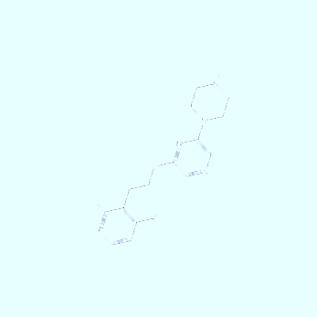 Fc1cccc(F)c1CCOc1cncc(N2CCNCC2)n1